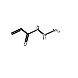 C=CC(=O)NNN